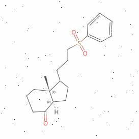 C[C@]12CCCC(=O)[C@@H]1CCC2CCCS(=O)(=O)c1ccccc1